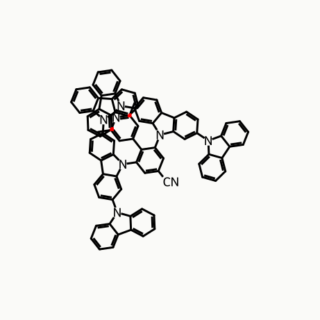 Cc1cc(-c2c(-n3c4cc(-n5c6ccccc6c6ccccc65)ccc4c4ccc(-n5c6ccccc6c6ccccc65)cc43)cc(C#N)cc2-n2c3cc(-n4c5ccccc5c5ccccc54)ccc3c3ccc(-n4c5ccccc5c5ccccc54)cc32)cc(C)n1